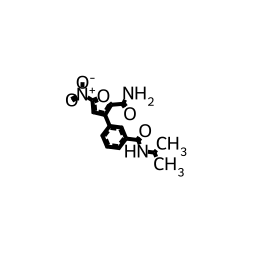 CC(C)NC(=O)c1cccc(-c2cc([N+](=O)[O-])oc2C(N)=O)c1